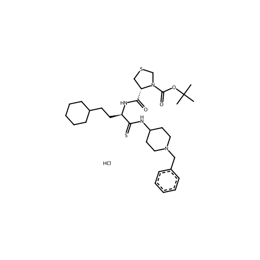 CC(C)(C)OC(=O)N1CSC[C@H]1C(=O)N[C@H](CCC1CCCCC1)C(=S)NC1CCN(Cc2ccccc2)CC1.Cl